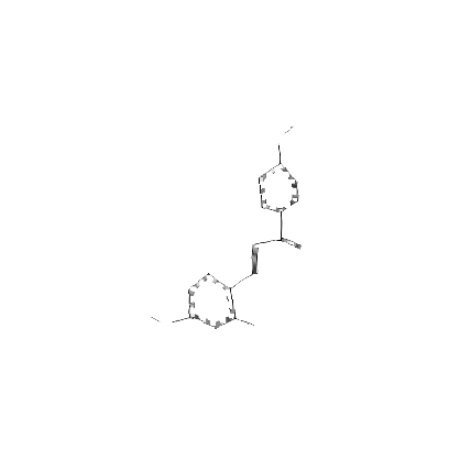 COc1ccc(C(=O)C=Cc2ccc(OC)cc2F)cc1